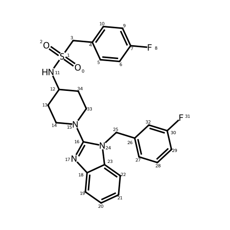 O=S(=O)(Cc1ccc(F)cc1)NC1CCN(c2nc3ccccc3n2Cc2cccc(F)c2)CC1